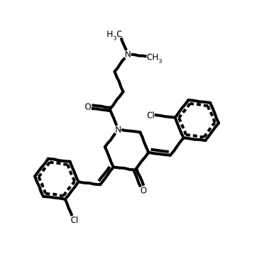 CN(C)CCC(=O)N1C/C(=C\c2ccccc2Cl)C(=O)/C(=C/c2ccccc2Cl)C1